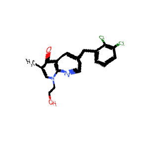 Cc1cn(CCO)c2ncc(Cc3cccc(Cl)c3Cl)cc2c1=O